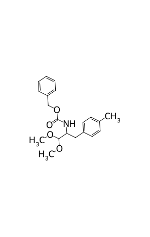 COC(OC)C(Cc1ccc(C)cc1)NC(=O)OCc1ccccc1